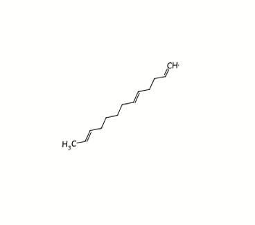 [CH]=CCCC=CCCCCC=CC